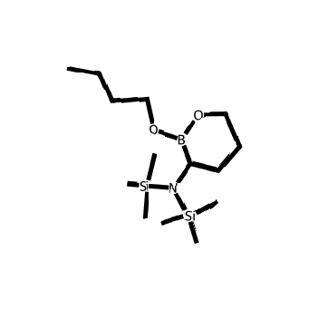 CCCCOB1OCCCC1N([Si](C)(C)C)[Si](C)(C)C